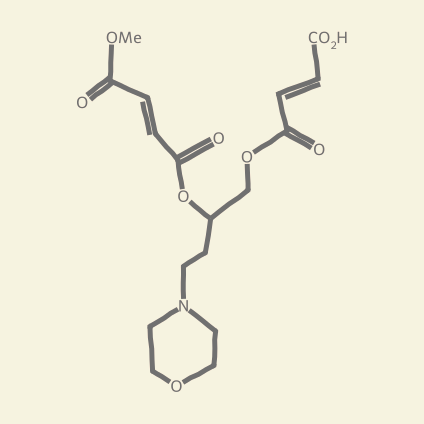 COC(=O)C=CC(=O)OC(CCN1CCOCC1)COC(=O)C=CC(=O)O